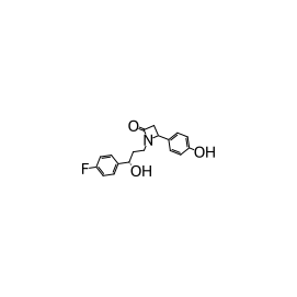 O=C1CC(c2ccc(O)cc2)N1CC[C@H](O)c1ccc(F)cc1